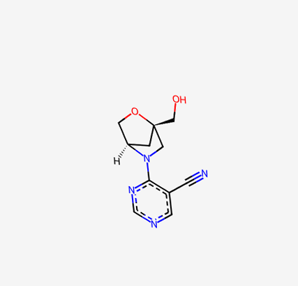 N#Cc1cncnc1N1C[C@]2(CO)C[C@@H]1CO2